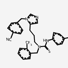 N#Cc1ccc(Cn2cncc2CCCN(Cc2ccccc2C(F)(F)F)C(=S)Nc2ccc(F)cc2)cc1